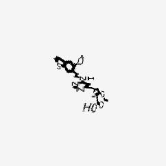 CCOc1cc(-c2cc(NCCc3cc4sccc4cc3OC)ncn2)sc1C(=O)O